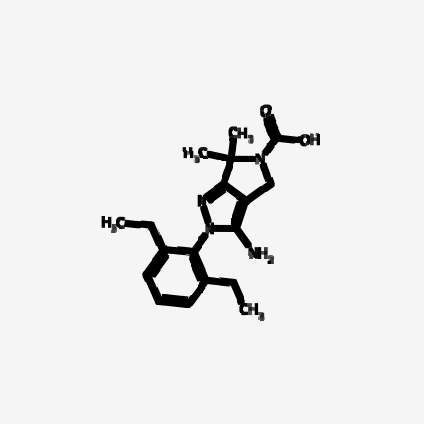 CCc1cccc(CC)c1-n1nc2c(c1N)CN(C(=O)O)C2(C)C